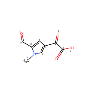 Cn1cc(C(=O)C(=O)O)cc1C=O